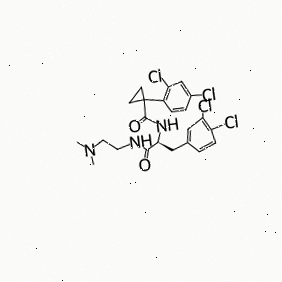 CN(C)CCNC(=O)[C@H](Cc1ccc(Cl)c(Cl)c1)NC(=O)C1(c2ccc(Cl)cc2Cl)CC1